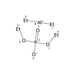 CCOP(=O)([O-])OCC.C[CH2][Al+][CH2]C